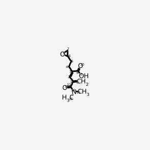 C=C(C=C(CCC1CO1)C(=O)O)C(=O)N(C)C